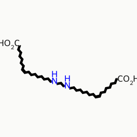 O=C(O)CCCCCCC/C=C\CCCCCCCCNCCCNCCCCCCCC/C=C\CCCCCCCC(=O)O